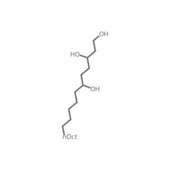 CCCCCCCCCCCCCC(O)CCC(O)CCO